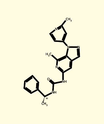 Cc1cc(-n2ncc3cc(NC(=O)N[C@H](C)c4ccccc4)nc(C)c32)ccn1